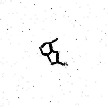 Nc1nc2c(F)cncc2s1